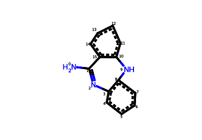 NC1=Nc2ccccc2Nc2ccccc21